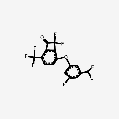 O=C1c2c(C(F)(F)F)ccc(Oc3cc(F)cc(C(F)F)c3)c2C1(F)F